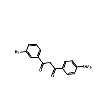 COc1ccc(C(=O)CC(=O)c2cccc(C(C)C)c2)cc1